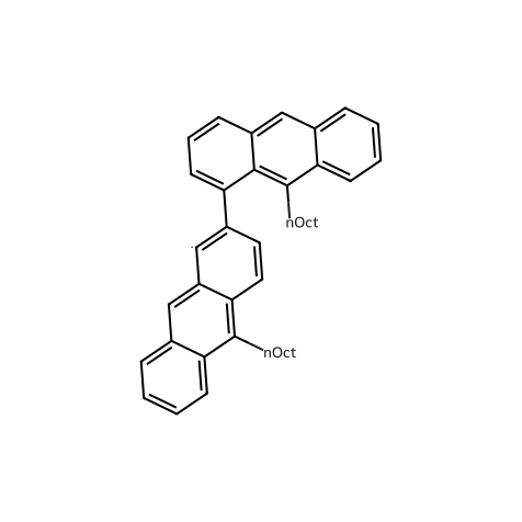 CCCCCCCCc1c2ccc(-c3cccc4cc5ccccc5c(CCCCCCCC)c34)[c]c2cc2ccccc12